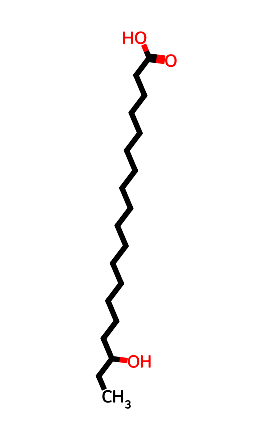 CCC(O)CCCCCCCCCCCCCCCC(=O)O